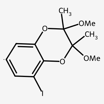 COC1(C)Oc2c[c]cc(I)c2OC1(C)OC